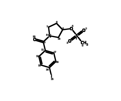 CS(=O)(=O)OC1CCN(C(=O)c2ccc(I)cc2)C1